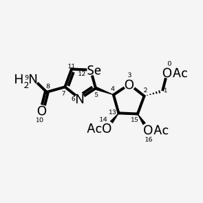 CC(=O)OC[C@H]1O[C@H](c2nc(C(N)=O)c[se]2)[C@H](OC(C)=O)[C@@H]1OC(C)=O